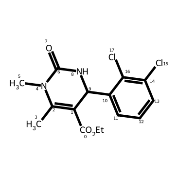 CCOC(=O)C1=C(C)N(C)C(=O)NC1c1cccc(Cl)c1Cl